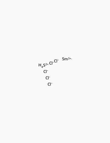 [Cl-].[Cl-].[Cl-].[Cl-].[Cl-].[SH4+2].[Sm+3]